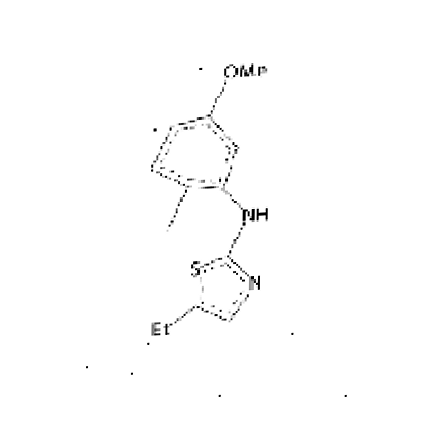 CCc1cnc(Nc2cc(OC)ccc2C)s1